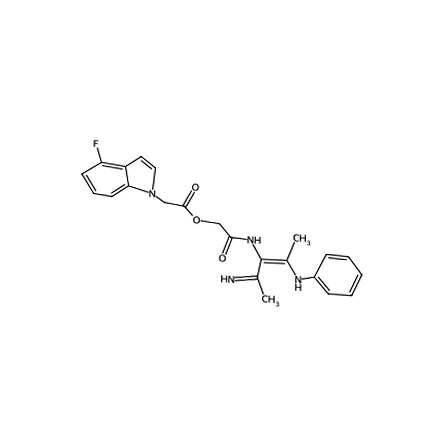 CC(=N)/C(NC(=O)COC(=O)Cn1ccc2c(F)cccc21)=C(/C)Nc1ccccc1